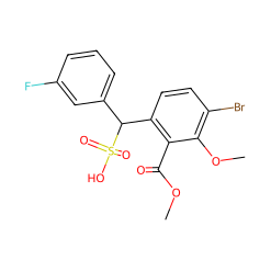 COC(=O)c1c(C(c2cccc(F)c2)S(=O)(=O)O)ccc(Br)c1OC